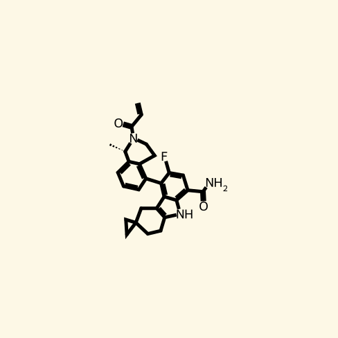 C=CC(=O)N1CCc2c(-c3c(F)cc(C(N)=O)c4[nH]c5c(c34)CC3(CC5)CC3)cccc2[C@@H]1C